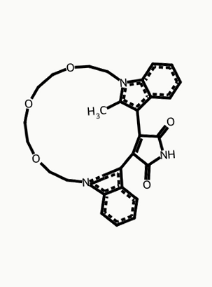 Cc1c2c3ccccc3n1CCOCCOCCOCCn1cc(c3ccccc31)C1=C2C(=O)NC1=O